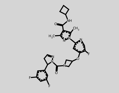 Cc1nn(-c2cc(OC3CN(C(=O)N4N=CCC4c4cc(F)cc(F)c4)C3)c(F)cn2)c(C)c1C(=O)NC1CCC1